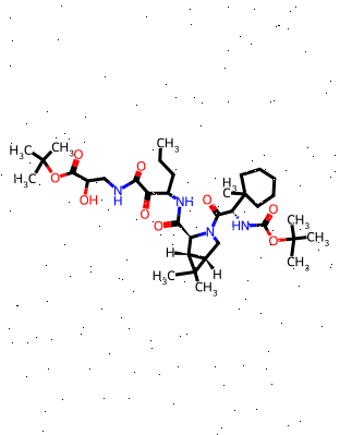 CCCC(NC(=O)[C@@H]1[C@@H]2[C@H](CN1C(=O)[C@@H](NC(=O)OC(C)(C)C)C1(C)CCCCC1)C2(C)C)C(=O)C(=O)NCC(O)C(=O)OC(C)(C)C